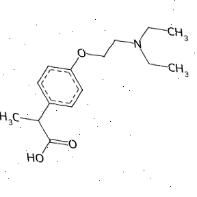 CCN(CC)CCOc1ccc(C(C)C(=O)O)cc1